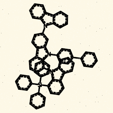 c1ccc(-c2ccc(-n3c4cc(-n5c6ccccc6c6ccccc65)ccc4c4cccc(-n5c6ccccc6c6cccc([Si](c7ccccc7)(c7ccccc7)c7ccccc7)c65)c43)cc2)cc1